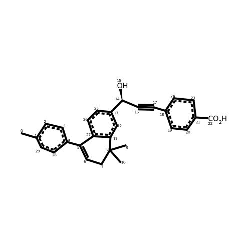 Cc1ccc(C2=CCC(C)(C)c3cc([C@@H](O)C#Cc4ccc(C(=O)O)cc4)ccc32)cc1